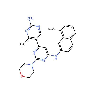 COc1cccc2ccc(Nc3cc(-c4cnc(N)nc4C(F)(F)F)nc(N4CCOCC4)n3)cc12